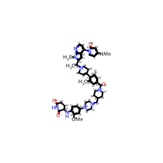 CNc1ccn(-c2ccnc3c2cc([C@H](C)N2CC=C(c4c(C)cc(C(=O)N5CCC(CN6CCN(c7ccc(NC8CCC(=O)NC8=O)c(OC)c7)CC6)CC5)cc4F)CC2)n3C)c(=O)c1